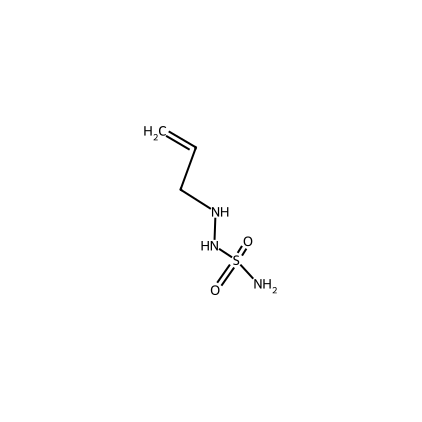 C=CCNNS(N)(=O)=O